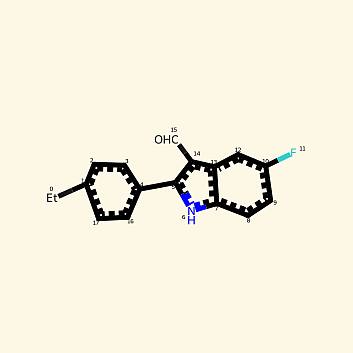 CCc1ccc(-c2[nH]c3ccc(F)cc3c2C=O)cc1